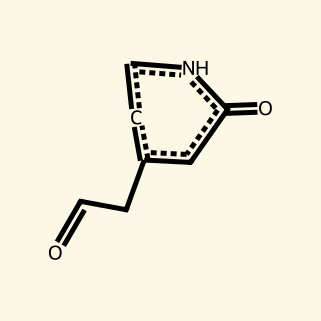 O=CCc1cc[nH]c(=O)c1